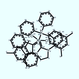 Cc1cc(C)c(N2CCN(c3c(C)cc(C)cc3C)[C]2=[Ru]([Cl])([Cl])(=[C]2c3ccccc3-c3ccccc32)[PH](c2ccccc2)(c2ccccc2)c2ccccc2)c(C)c1